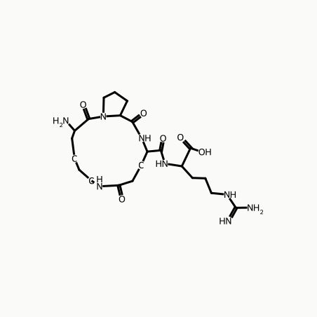 N=C(N)NCCCC(NC(=O)C1CCC(=O)NCCCCC(N)C(=O)N2CCCC2C(=O)N1)C(=O)O